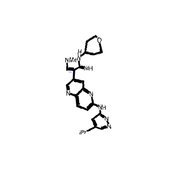 CN/C=C(\C(=N)NC1CCOCC1)c1cnc2ccc(Nc3cc(C(C)C)cnn3)nc2c1